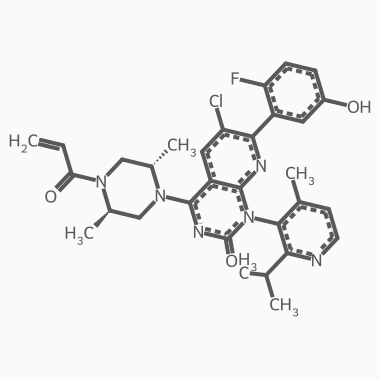 C=CC(=O)N1C[C@H](C)N(c2nc(=O)n(-c3c(C)ccnc3C(C)C)c3nc(-c4cc(O)ccc4F)c(Cl)cc23)C[C@H]1C